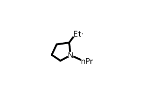 C[CH]C1CCCN1CCC